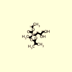 C=C(C)C(=O)OC(C)N(CCC(O)CO)C(=O)OCC